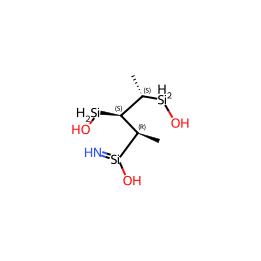 C[C@H]([SiH2]O)[C@H]([SiH2]O)[C@@H](C)[Si](=N)O